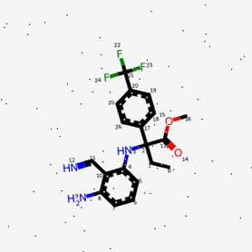 CCC(Nc1cccc(N)c1C=N)(C(=O)OC)c1ccc(C(F)(F)F)cc1